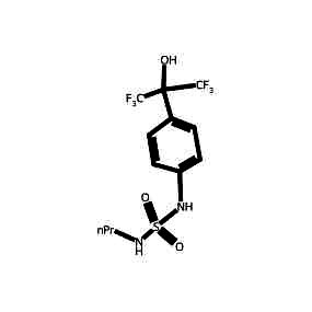 CCCNS(=O)(=O)Nc1ccc(C(O)(C(F)(F)F)C(F)(F)F)cc1